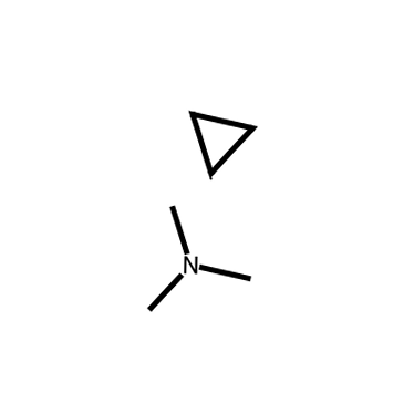 CN(C)C.[CH]1CC1